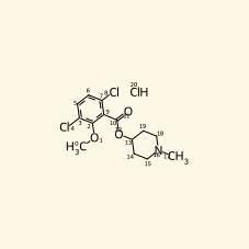 COc1c(Cl)ccc(Cl)c1C(=O)OC1CCN(C)CC1.Cl